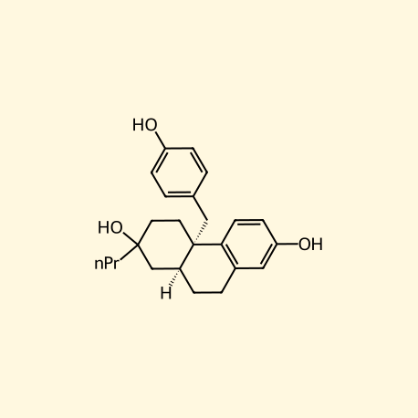 CCCC1(O)CC[C@@]2(Cc3ccc(O)cc3)c3ccc(O)cc3CC[C@H]2C1